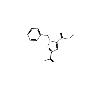 CNC(=O)c1cc(C(=O)NC(C)C)n(Cc2ccccc2)n1